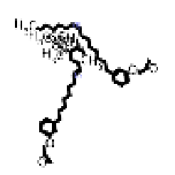 CCCC(CC/C=C\CCCCCCCc1cccc(OCC2CO2)c1)[Si](C)(C)O[Si](C)(C)C(CCC)CC/C=C/CCCCCCCc1cccc(OCC2CO2)c1